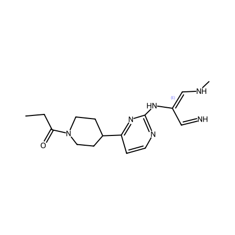 CCC(=O)N1CCC(c2ccnc(N/C(C=N)=C/NC)n2)CC1